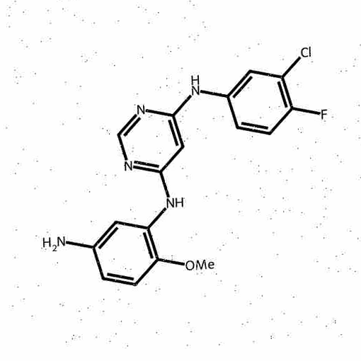 COc1ccc(N)cc1Nc1cc(Nc2ccc(F)c(Cl)c2)ncn1